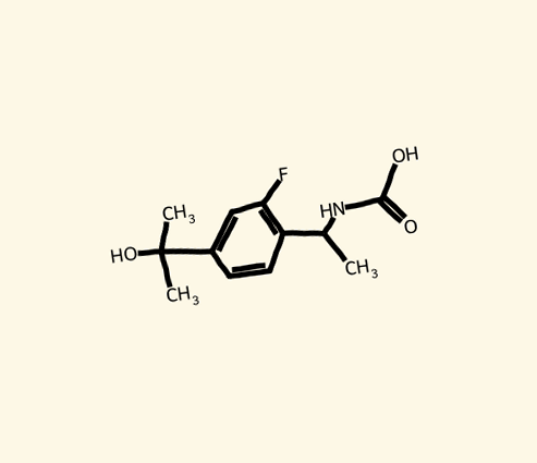 CC(NC(=O)O)c1ccc(C(C)(C)O)cc1F